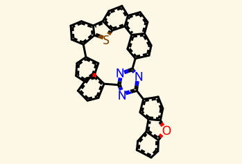 c1ccc(-c2nc(-c3ccc4oc5ccccc5c4c3)nc(-c3ccc4ccc5ccc6c7cccc(-c8ccccc8)c7sc6c5c4c3)n2)cc1